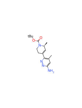 Cc1cc(N)nnc1C1=C[C@H](C)N(C(=O)OC(C)(C)C)CC1